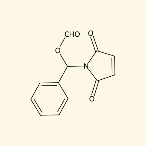 O=COC(c1ccccc1)N1C(=O)C=CC1=O